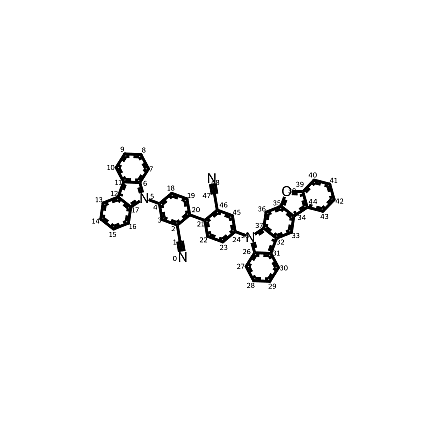 N#Cc1cc(-n2c3ccccc3c3ccccc32)ccc1-c1ccc(-n2c3ccccc3c3cc4c(cc32)oc2ccccc24)cc1C#N